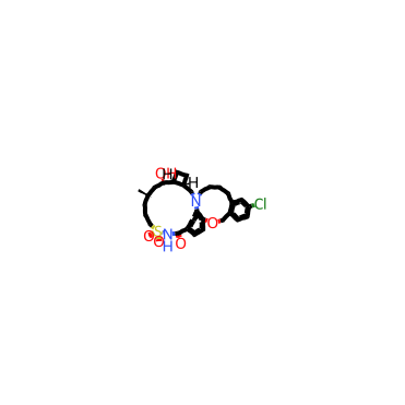 C[C@@H]1CCCS(=O)(=O)NC(=O)c2ccc3c(c2)N(CCCCc2cc(Cl)ccc2CO3)C[C@@H]2CC[C@H]2[C@H](O)C1